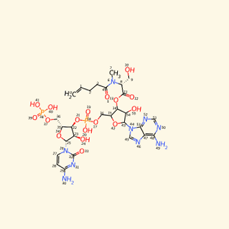 C=CCCC(=O)N(C)[C@H](CO)C(=O)OC1C(COP(=O)(O)O[C@H]2[C@@H](O)[C@H](n3ccc(N)nc3=O)O[C@@H]2COP(=O)(O)O)OC(n2cnc3c(N)ncnc32)C1O